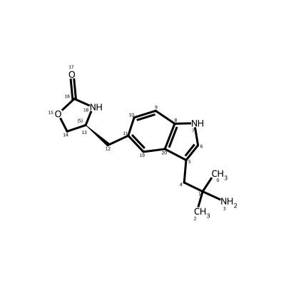 CC(C)(N)Cc1c[nH]c2ccc(C[C@H]3COC(=O)N3)cc12